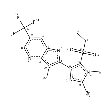 CCS(=O)(=O)c1c(-c2nc3cc(C(F)(F)F)cnc3n2C)nc(Br)n1C